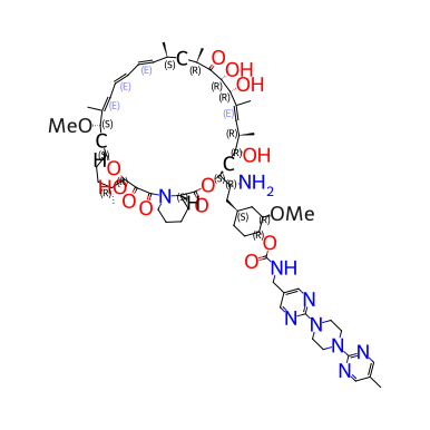 CO[C@H]1C[C@@H]2CC[C@@H](C)[C@@](O)(O2)C(=O)C(=O)N2CCCC[C@H]2C(=O)O[C@H]([C@H](N)C[C@@H]2CC[C@@H](OC(=O)NCc3cnc(N4CCN(c5ncc(C)cn5)CC4)nc3)[C@H](OC)C2)C[C@@H](O)[C@H](C)/C=C(\C)[C@@H](O)[C@@H](O)C(=O)[C@H](C)C[C@H](C)/C=C/C=C/C=C/1C